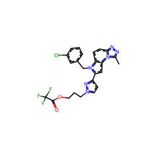 Cc1nnc2ccc3c(cc(-c4ccn(CCCOC(=O)C(F)(F)F)n4)n3Cc3cccc(Cl)c3)n12